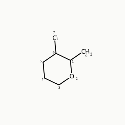 CC1OCCCC1Cl